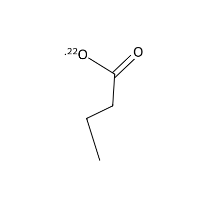 CCCC(=O)[22O]